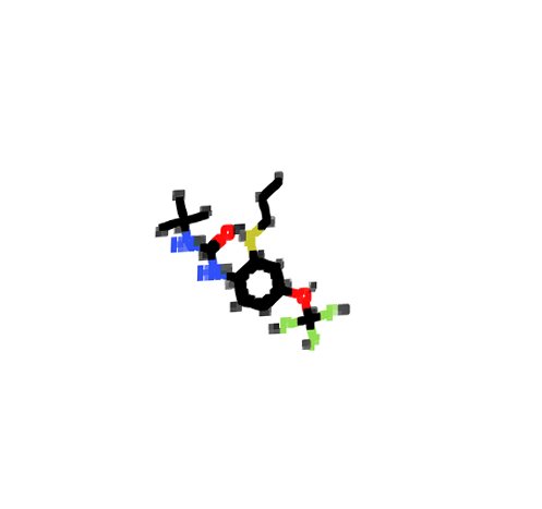 CCCSc1cc(OC(F)(F)F)ccc1NC(=O)NC(C)(C)C